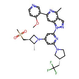 COc1ccncc1-c1cc2c(cnn2-c2cc(N3C[C@H](CS(C)(=O)=O)[C@H]3C)cc(N3CC[C@H](CC(F)(F)F)C3)n2)c(C)n1